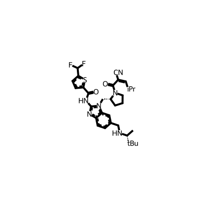 CC(C)C=C(C#N)C(=O)N1CCC[C@@H]1Cn1c(NC(=O)c2ccc(C(F)F)s2)nc2ccc(CN[C@H](C)C(C)(C)C)cc21